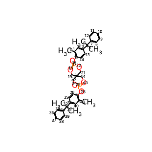 Cc1cc(C(C)(C)c2ccccc2)ccc1OP1OCC2(CO1)COP(Oc1ccc(C(C)(C)c3ccccc3)cc1C)OC2